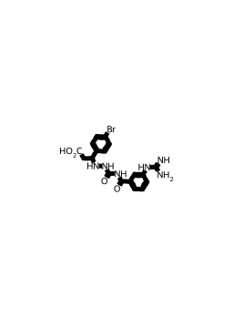 N=C(N)Nc1cccc(C(=O)NC(=O)NNC(CC(=O)O)c2ccc(Br)cc2)c1